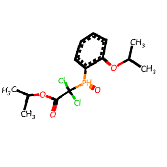 CC(C)OC(=O)C(Cl)(Cl)[PH](=O)c1ccccc1OC(C)C